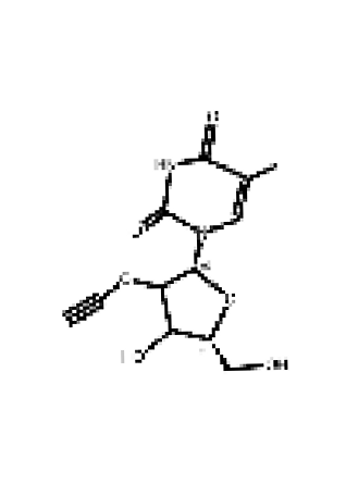 C#COC1C(O)[C@H](CO)O[C@@H]1n1cc(C)c(=O)[nH]c1=O